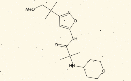 COCC(C)(C)c1cc(NC(=O)C(C)(C)NC2CCOCC2)on1